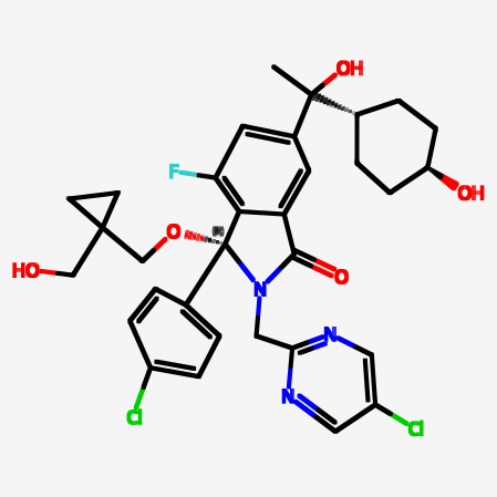 CC(O)(c1cc(F)c2c(c1)C(=O)N(Cc1ncc(Cl)cn1)[C@@]2(OCC1(CO)CC1)c1ccc(Cl)cc1)[C@H]1CC[C@H](O)CC1